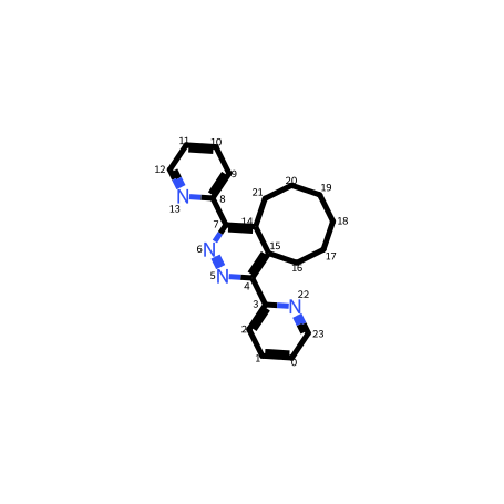 c1ccc(-c2nnc(-c3ccccn3)c3c2CCCCCC3)nc1